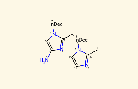 CCCCCCCCCCn1cc(N)nc1C.CCCCCCCCCCn1ccnc1C